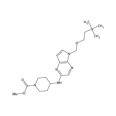 CC(C)(C)OC(=O)N1CCC(Nc2cnc3c(ccn3COCC[Si](C)(C)C)n2)CC1